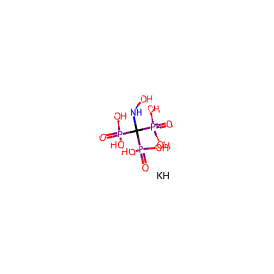 O=P(O)(O)C(NO)(P(=O)(O)O)P(=O)(O)O.[KH]